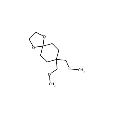 COCC1(COC)CCC2(CC1)OCCO2